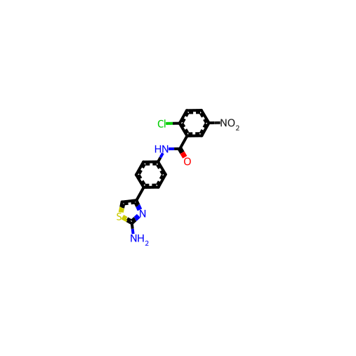 Nc1nc(-c2ccc(NC(=O)c3cc([N+](=O)[O-])ccc3Cl)cc2)cs1